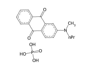 CCCN(C)c1ccc2c(c1)C(=O)c1ccccc1C2=O.O=P(O)(O)O